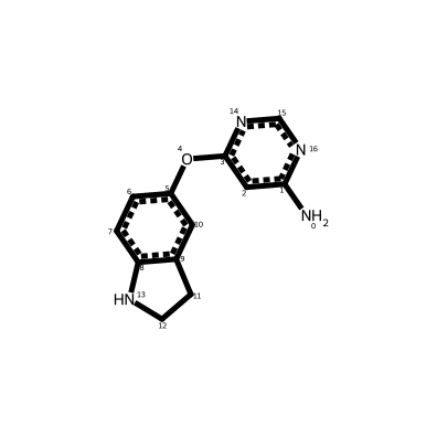 Nc1cc(Oc2ccc3c(c2)CCN3)ncn1